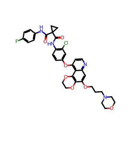 O=C(Nc1ccc(F)cc1)C1(C(=O)Nc2ccc(Oc3ccnc4cc(OCCCN5CCOCC5)c5c(c34)OCCO5)cc2Cl)CC1